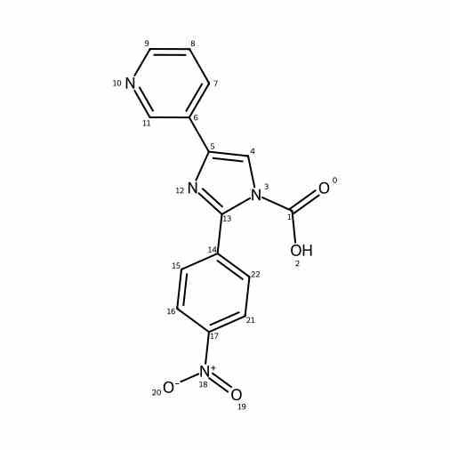 O=C(O)n1cc(-c2cccnc2)nc1-c1ccc([N+](=O)[O-])cc1